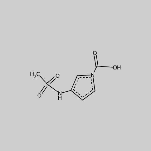 CS(=O)(=O)Nc1ccn(C(=O)O)c1